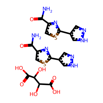 NC(=O)c1csc(-c2cn[nH]c2)n1.NC(=O)c1csc(-c2cn[nH]c2)n1.O=C(O)C(O)C(O)C(=O)O